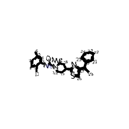 CO/C(=N\c1cc(C)ccc1C)N1CCC(c2nc(C(C)c3ccccc3)cs2)CC1